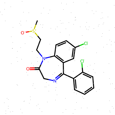 C[S+]([O-])CCN1C(=O)CN=C(c2ccccc2Cl)c2cc(Cl)ccc21